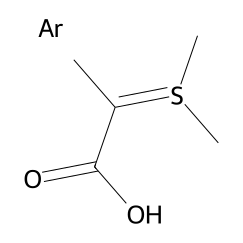 CC(C(=O)O)=S(C)C.[Ar]